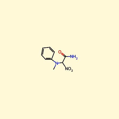 CN(c1ccccc1)C(C(N)=O)[N+](=O)[O-]